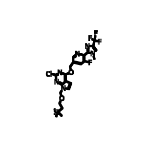 Cn1cc(C(F)(F)F)nc1-c1ncc(COc2nc(Cl)nc3c2ccn3COCC[Si](C)(C)C)cc1F